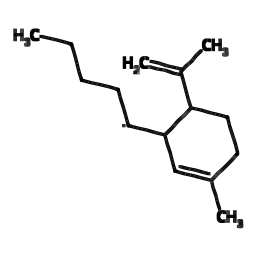 C=C(C)C1CCC(C)=CC1[CH]CCCC